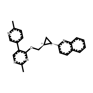 Cc1ccc(-c2cnc(C)nc2OC[C@H]2C[C@@H]2c2ccc3ccccc3n2)cn1